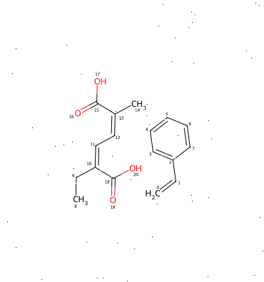 C=Cc1ccccc1.CCC(=CC=C(C)C(=O)O)C(=O)O